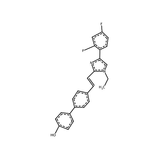 CCn1cc(-c2ccc(F)cc2F)nc1/C=C/c1ccc(-c2ccc(O)cc2)cc1